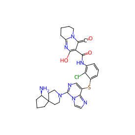 N[C@@H]1CCCC12CCN(c1ncc(Sc3cccc(NC(=O)C4=C(O)N=C5CCCCN5C4=C=O)c3Cl)c3nccn13)CC2